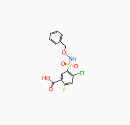 O=C(O)c1cc(S(=O)(=O)NOCc2ccccc2)c(Cl)cc1F